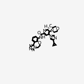 C[C@@H]1COCCN1c1cnc(C(=O)Nc2cccc3c2OCCn2nnnc2-3)cc1-n1cnc(C2CC2)c1